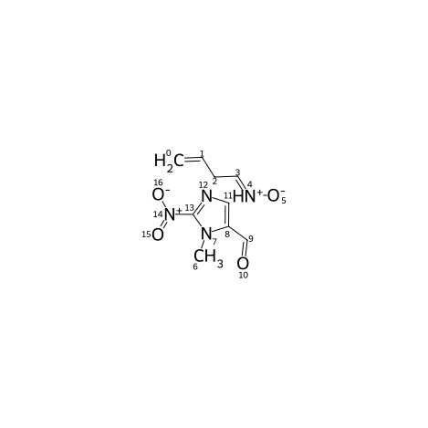 C=CCC=[NH+][O-].Cn1c(C=O)cnc1[N+](=O)[O-]